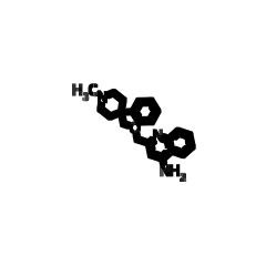 CN1CCC(COCc2cc(N)c3ccccc3n2)(c2ccccc2)CC1